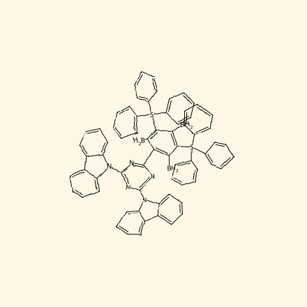 Bc1c(-c2nc(-n3c4ccccc4c4ccccc43)nc(-n3c4ccccc4c4ccccc43)n2)c(B)c(S(c2ccccc2)(c2ccccc2)c2ccccc2)c(B)c1S(c1ccccc1)(c1ccccc1)c1ccccc1